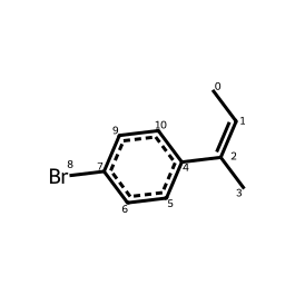 C/C=C(/C)c1ccc(Br)cc1